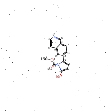 CC(C)(C)OC(=O)n1c(Br)ccc1-c1ccc2cnccc2c1